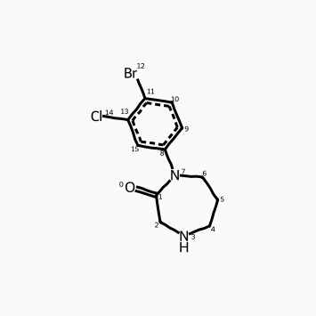 O=C1CNCCCN1c1ccc(Br)c(Cl)c1